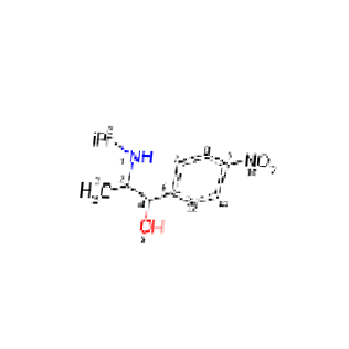 CC(C)NC(C)C(O)c1ccc([N+](=O)[O-])cc1